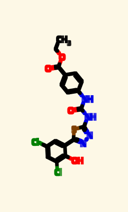 CCOC(=O)c1ccc(NC(=O)Nc2nnc(-c3cc(Cl)cc(Cl)c3O)s2)cc1